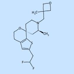 C[C@H]1C[C@@]2(CCN1CC1(C)COC1)OCCc1cc(CC(F)F)sc12